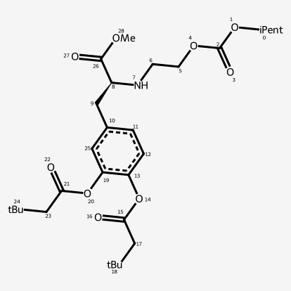 CCCC(C)OC(=O)OCCN[C@@H](Cc1ccc(OC(=O)CC(C)(C)C)c(OC(=O)CC(C)(C)C)c1)C(=O)OC